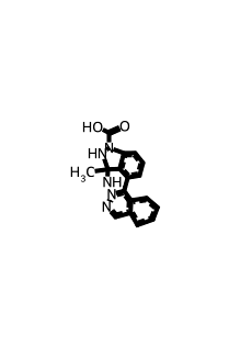 CC1(N)NN(C(=O)O)c2cccc(-c3nncc4ccccc34)c21